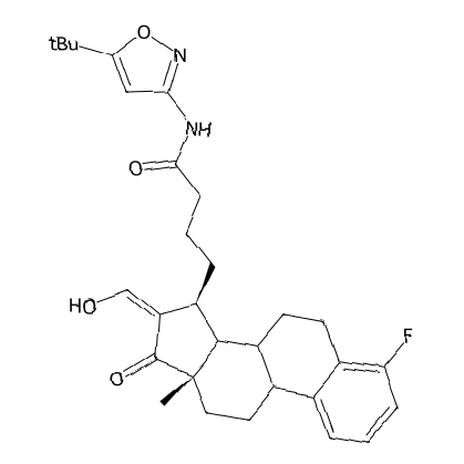 CC(C)(C)c1cc(NC(=O)CCC[C@@H]2/C(=C/O)C(=O)[C@@]3(C)CCC4c5cccc(F)c5CCC4C23)no1